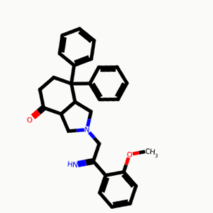 COc1ccccc1C(=N)CN1CC2C(=O)CCC(c3ccccc3)(c3ccccc3)C2C1